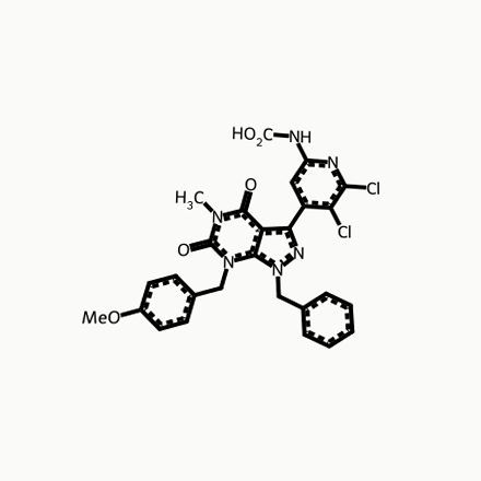 COc1ccc(Cn2c(=O)n(C)c(=O)c3c(-c4cc(NC(=O)O)nc(Cl)c4Cl)nn(Cc4ccccc4)c32)cc1